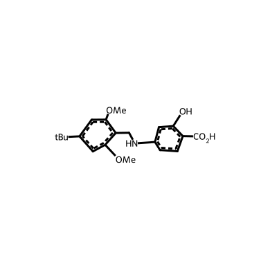 COc1cc(C(C)(C)C)cc(OC)c1CNc1ccc(C(=O)O)c(O)c1